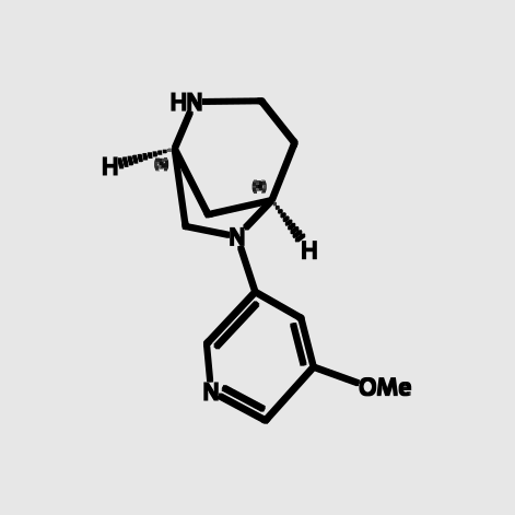 COc1cncc(N2C[C@@H]3C[C@H]2CCN3)c1